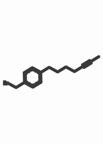 CC#CCCCCc1ccc(CBr)cc1